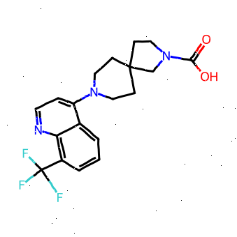 O=C(O)N1CCC2(CCN(c3ccnc4c(C(F)(F)F)cccc34)CC2)C1